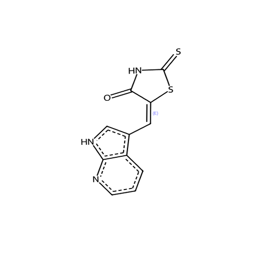 O=C1NC(=S)S/C1=C/c1c[nH]c2ncccc12